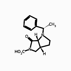 C[C@@H](c1ccccc1)N1CC[C@@H]2CN(C(=O)O)C(=O)[C@@H]21